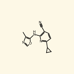 Cc1ncoc1Nc1nc(C2CC2)ccc1C#N